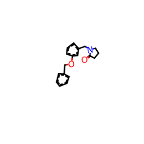 O=C1CCCN1Cc1cccc(OCc2ccccc2)c1